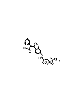 CS(=O)(=O)CCC(NCc1ccc2c(c1)CO/C2=C1/C(=O)Nc2ccccc21)C(=O)O